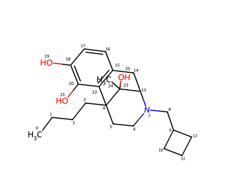 CCCCC12CCN(CC3CCC3)C(Cc3ccc(O)c(O)c31)C2(C)O